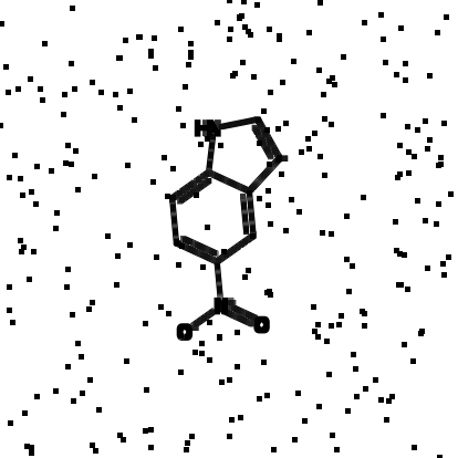 O=[N+]([O-])c1ccc2[nH]c[c]c2c1